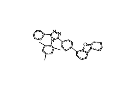 Cc1cc(C)c(-n2c(-c3ccccc3)nnc2-c2ccc(-c3cccc4c3oc3ccccc34)cc2)c(C)c1